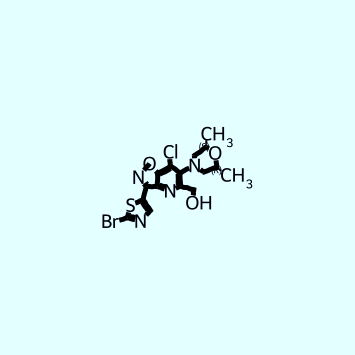 C[C@@H]1CN(c2c(CO)nc3c(-c4cnc(Br)s4)noc3c2Cl)C[C@H](C)O1